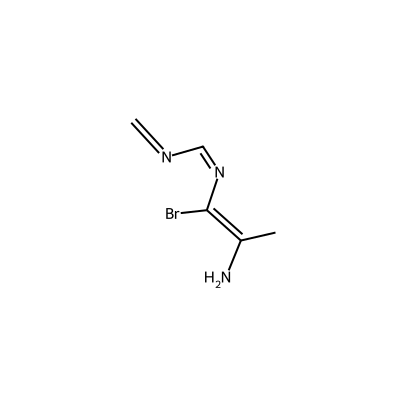 C=N/C=N\C(Br)=C(/C)N